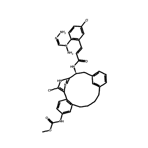 COC(=O)Nc1ccc2c(c1)CCCCc1cccc(c1)C[C@H](NC(=O)/C=C/c1cc(Cl)ccc1N(N)/C=N\N)c1nc-2c(Cl)[nH]1